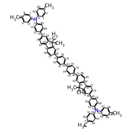 Cc1ccc(N(c2ccc(C)cc2)c2ccc(-c3ccc4c(c3)C(C)(C)c3cc(-c5ccc(-c6ccc(-c7ccc8c(c7)C(C)(C)c7cc(-c9ccc(N(c%10ccc(C)cc%10)c%10ccc(C)cc%10)cc9)ccc7-8)cc6)cc5)ccc3-4)cc2)cc1